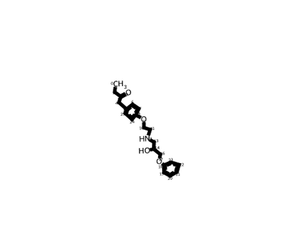 CCC(=O)Cc1ccc(OCCNCC(O)COc2ccccc2)cc1